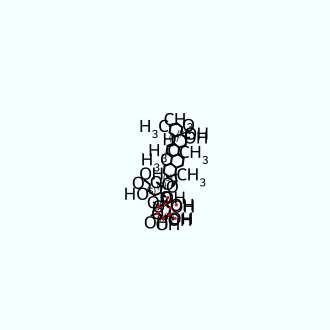 CC1(C)CC[C@]2(C(=O)O)C(O)CC3(C)C(=CCC4C5(C)CC[C@H](O[C@@H]6OC(C(=O)O)[C@@H](O)C(O[C@@H]7OC[C@@H](O)C(O)C7O)C6O[C@@H]6OC(CO)[C@H](O)C(O)C6O)C(C)(C=O)C5CCC43C)[C@H]2C1